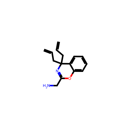 C=CCC1(CC=C)N=C(CN)Oc2ccccc21